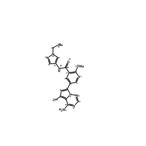 COc1ncc(-c2cc(Cl)c3c(N)ncnn23)cc1C(=O)Nc1cnn(CC(C)(C)C)c1